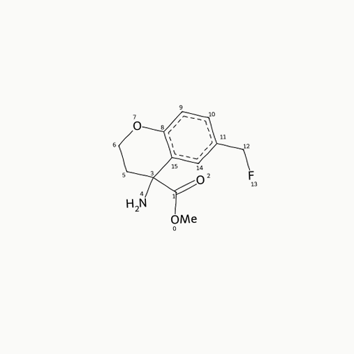 COC(=O)C1(N)CCOc2ccc(CF)cc21